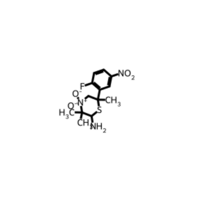 CC1(c2cc([N+](=O)[O-])ccc2F)C[N+]([O-])([O-])C(C)(C)C(N)S1